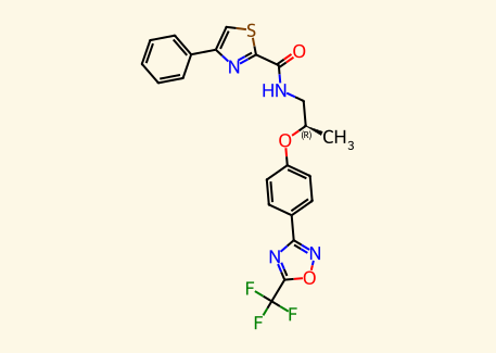 C[C@H](CNC(=O)c1nc(-c2ccccc2)cs1)Oc1ccc(-c2noc(C(F)(F)F)n2)cc1